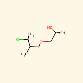 CC(COC[C@H](C)O)[C@H](C)Cl